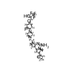 Nc1nc2c(cnn2CCN2CCN(c3ccc(OCC(O)C(F)(F)F)cc3F)CC2)c2cc(-c3ccco3)nn12